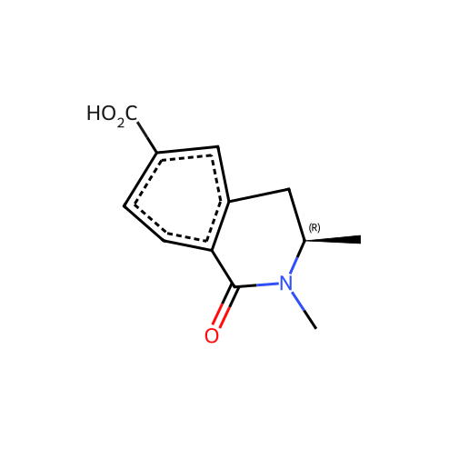 C[C@@H]1Cc2cc(C(=O)O)ccc2C(=O)N1C